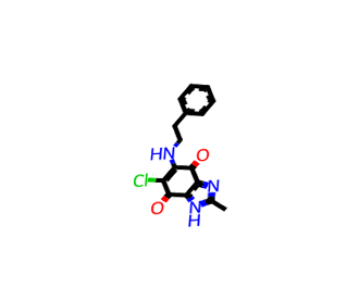 Cc1nc2c([nH]1)C(=O)C(Cl)=C(NCCc1ccccc1)C2=O